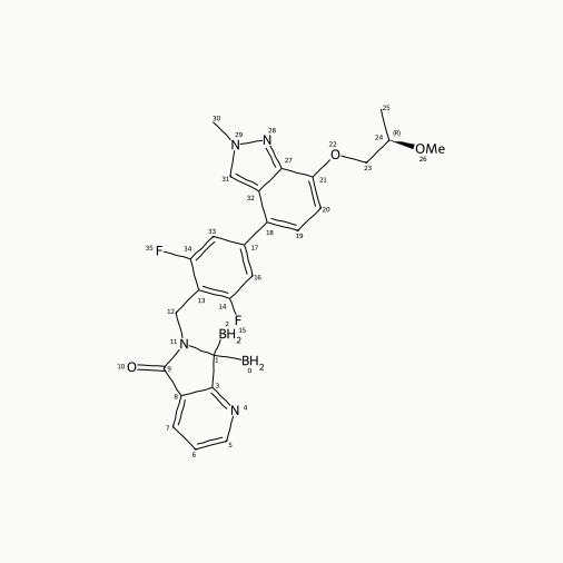 BC1(B)c2ncccc2C(=O)N1Cc1c(F)cc(-c2ccc(OC[C@@H](C)OC)c3nn(C)cc23)cc1F